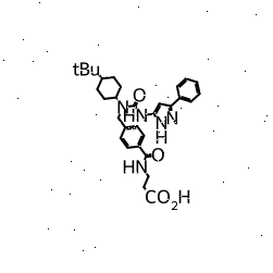 CC(C)(C)[C@H]1CC[C@H](N(Cc2ccc(C(=O)NCCC(=O)O)cc2)C(=O)Nc2cc(-c3ccccc3)n[nH]2)CC1